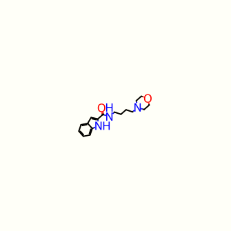 O=C(NCCCCN1CCOCC1)c1cc2ccccc2[nH]1